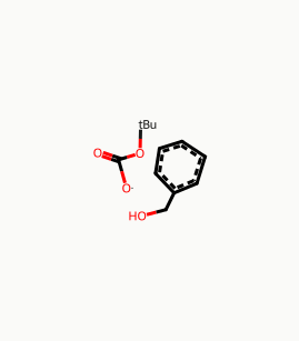 CC(C)(C)OC([O])=O.OCc1ccccc1